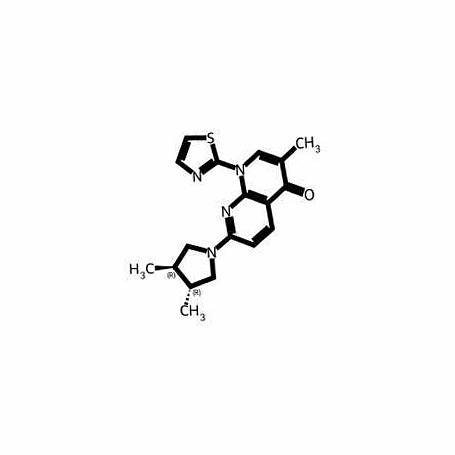 Cc1cn(-c2nccs2)c2nc(N3C[C@H](C)[C@@H](C)C3)ccc2c1=O